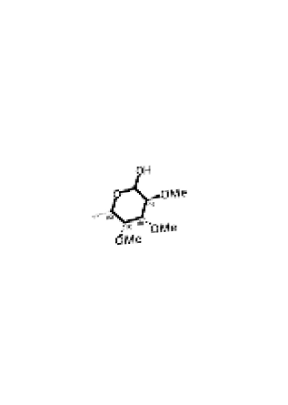 CO[C@@H]1[C@H](OC)[C@H](C)OC(O)[C@H]1OC